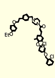 CCOc1ccc(OCCc2ccc(CN3CCN(C(=O)C=Cc4cc(C)c(Oc5ccc(OCc6ccccc6Cl)cn5)c(Cl)c4)CC3)cc2)cc1